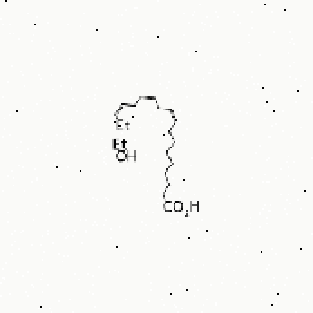 CC/C=C\C/C=C\C/C=C\CCCCCCCC(=O)O.CCO